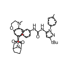 Cc1ccc(-n2nc(C(C)(C)C)cc2NC(=O)Nc2ccc(CC3CC4CCC(C3)N4S(=O)(=O)c3ccc4c(c3)OCCN4C)cc2)cc1